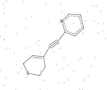 C(#Cc1ccccn1)C1=CCSCC1